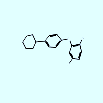 O=[N+]([O-])c1ccc(Br)cc1Nc1ccc(C2CCCCC2)cc1